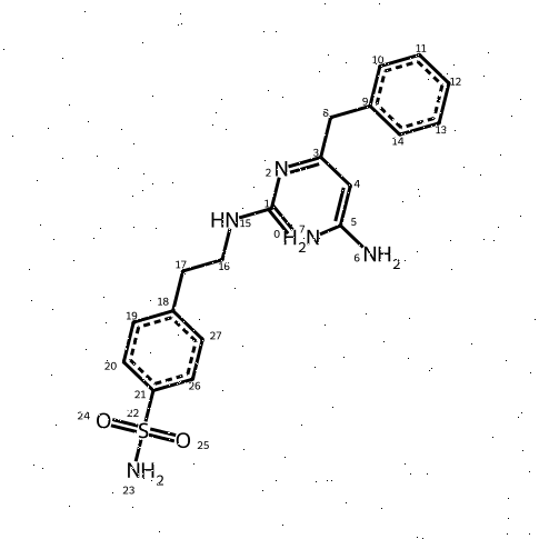 C=C(/N=C(\C=C(N)N)Cc1ccccc1)NCCc1ccc(S(N)(=O)=O)cc1